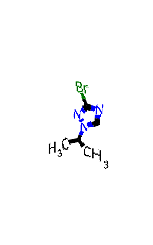 CC(C)n1cnc(Br)n1